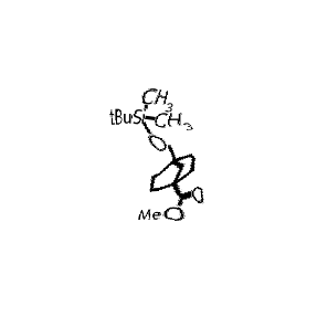 COC(=O)C12CCC(CO[Si](C)(C)C(C)(C)C)(CC1)C2